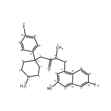 CN1CCC(CC(=O)N(C)Cc2cc(C#N)cc3cc(F)ccc23)(c2ccc(F)cc2)CC1